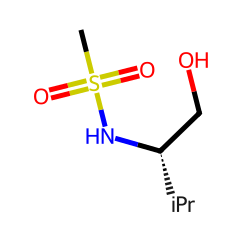 CC(C)[C@@H](CO)NS(C)(=O)=O